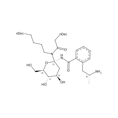 CCCCCCCCCCCCCCN(C(=O)CCCCCCCCCCC)[C@@]1(NC(=O)c2ccccc2C[C@@H](C)N)C[C@@H](O)[C@H](O)[C@@H](CO)O1